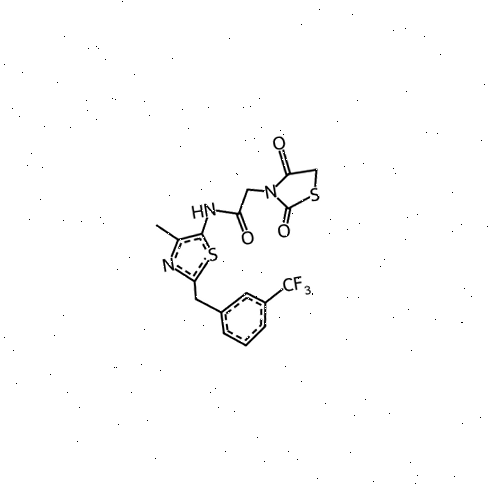 Cc1nc(Cc2cccc(C(F)(F)F)c2)sc1NC(=O)CN1C(=O)CSC1=O